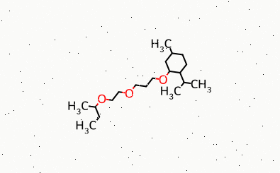 CCC(C)OCCOCCCOC1CC(C)CCC1C(C)C